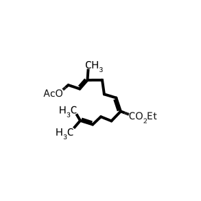 CCOC(=O)C(=CCCC(C)=CCOC(C)=O)CCC=C(C)C